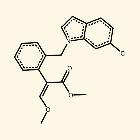 COC=C(C(=O)OC)c1ccccc1Cn1ccc2ccc(Cl)cc21